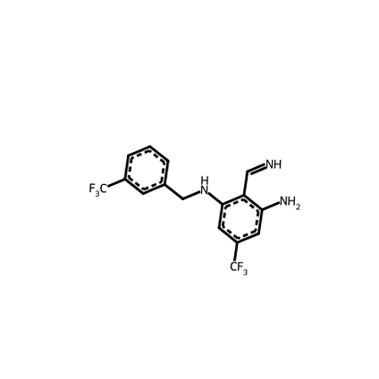 N=Cc1c(N)cc(C(F)(F)F)cc1NCc1cccc(C(F)(F)F)c1